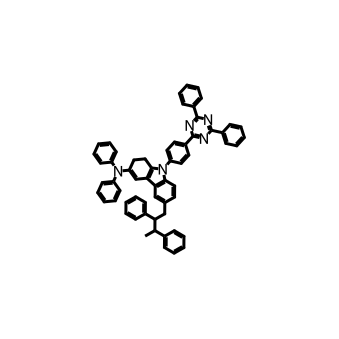 CC(c1ccccc1)C(Cc1ccc2c(c1)c1c(n2-c2ccc(-c3nc(-c4ccccc4)nc(-c4ccccc4)n3)cc2)CCC(N(c2ccccc2)c2ccccc2)=C1)c1ccccc1